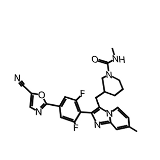 CNC(=O)N1CCCC(Cc2c(-c3c(F)cc(-c4ncc(C#N)o4)cc3F)nc3cc(C)ccn23)C1